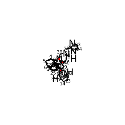 Cc1nc2ccccc2n1[C@H]1C[C@H]2CC[C@@H](C1)N2CCC1(c2ccccc2)CCN(Cc2ncc[nH]2)CC1